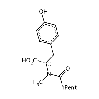 CCCCCC(=O)N(C)[C@@H](Cc1ccc(O)cc1)C(=O)O